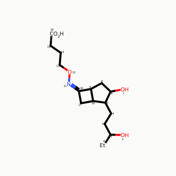 CCC(O)CCC1C(O)CC2C(=NOCCCC(=O)O)CC21